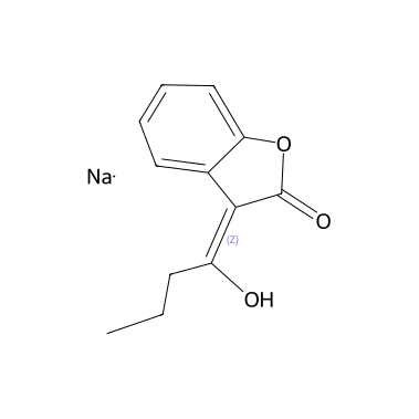 CCC/C(O)=C1/C(=O)Oc2ccccc21.[Na]